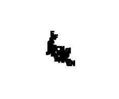 Cc1nc(OCCC(F)F)ccc1CN1CCc2c(NCC#N)nc(Cl)c(C#N)c2C1